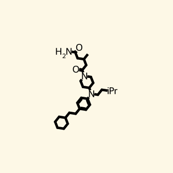 CC(C)CCN(c1ccc(CCC2CCCCC2)cc1)C1CCN(C(=O)CC(C)CC(N)=O)CC1